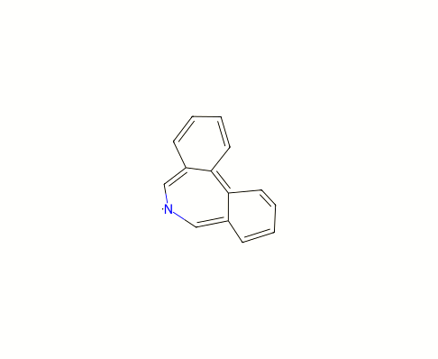 C1=c2ccccc2=c2ccccc2=C[N]1